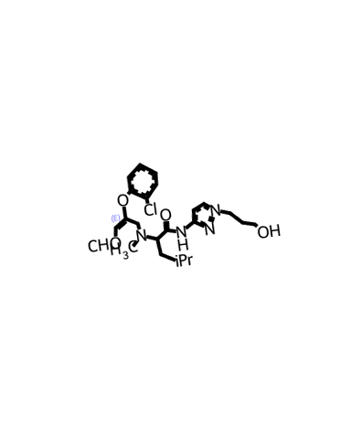 CC(C)CC(C(=O)Nc1ccn(CCCO)n1)N(C)C/C(=C\C=O)Oc1ccccc1Cl